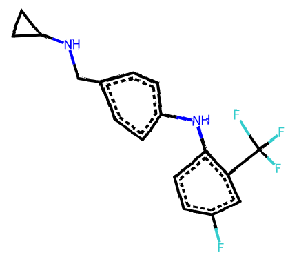 Fc1ccc(Nc2ccc(CNC3CC3)cc2)c(C(F)(F)F)c1